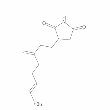 C=C(CCC=CCCCC)CCC1CC(=O)NC1=O